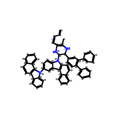 C=C/C=C\C1=C(C)NC(c2ccc(-c3ccccc3)c(-c3ccccc3)c2)C(n2c3ccc(-n4c5ccccc5c5ccc6ccccc6c54)cc3c3c4ccccc4ccc32)N1